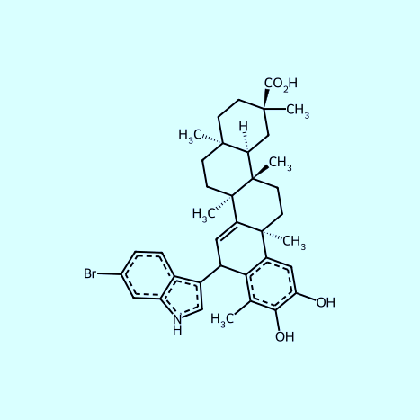 Cc1c(O)c(O)cc2c1C(c1c[nH]c3cc(Br)ccc13)C=C1[C@@]2(C)CC[C@@]2(C)[C@@H]3C[C@](C)(C(=O)O)CC[C@]3(C)CC[C@]12C